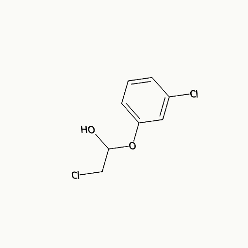 OC(CCl)Oc1cccc(Cl)c1